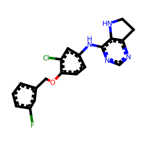 Fc1cccc(COc2ccc(Nc3ncnc4c3NCC4)cc2Cl)c1